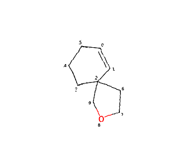 C1=CC2(CCC1)CCOC2